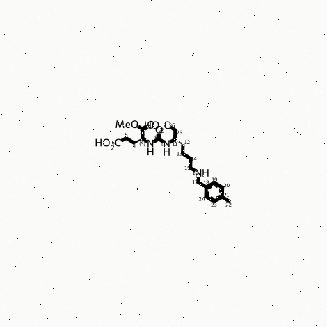 COC(=O)[C@H](CCC(=O)O)NC(=O)N[C@@H](CCCCNCc1ccc(C)cc1)CC(=O)O